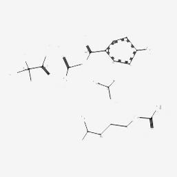 CC(C)C(N)C(=O)O.NC(=O)NCCCC(N)C(=O)O.NC(=O)OC(=O)c1ccc(N)cc1.O=C(O)C(F)(F)F